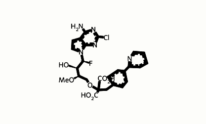 CO[C@H](COC(Cc1ccc(-c2ccccn2)cc1)(C(=O)O)C(=O)O)[C@@H](O)[C@H](F)n1ccc2c(N)nc(Cl)nc21